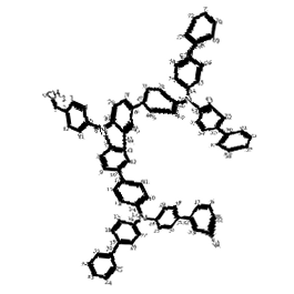 C=Cc1ccc(-n2c3ccc(-c4ccc(N(c5ccc(-c6ccccc6)cc5)c5ccc(-c6ccccc6)cc5)cc4)cc3c3cc(-c4ccc(N(c5ccc(-c6ccccc6)cc5)c5ccc(-c6ccccc6)cc5)cc4)ccc32)cc1